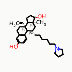 C=C[C@@]12CCc3cc(O)ccc3C1[C@@H](CCCCCCN1CCCC1)C[C@@]1(C)C2CC[C@@H]1O